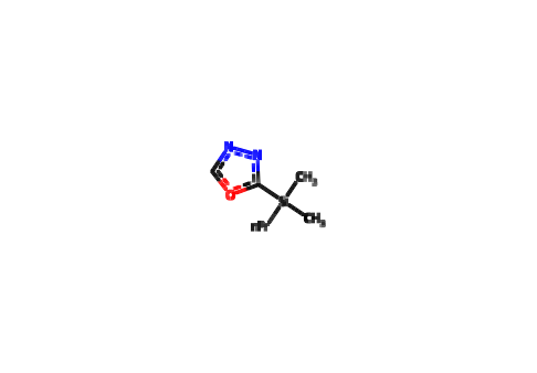 CCC[Si](C)(C)c1nnco1